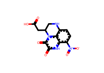 O=C(O)CC1CNc2ccc([N+](=O)[O-])c3[nH]c(=O)c(=O)n1c23